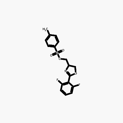 Cc1ccc(S(=O)(=O)OCC2COC(c3c(F)cccc3F)=N2)cc1